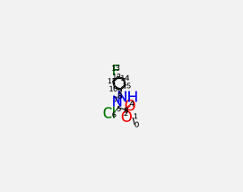 CCOC(=O)/C(Cl)=N\Nc1ccc(F)cc1